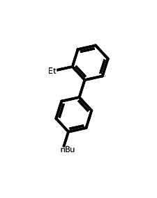 CCCCc1ccc(-c2[c]cccc2CC)cc1